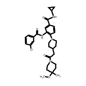 COC1(C)CCN(C(=O)CC2CCN(c3ccc(C(=O)NC4CC4)cc3NC(=O)c3cccc(Cl)c3)CC2)CC1